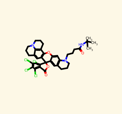 CC(C)(C)NC(=O)CCCN1CCCc2cc3c(cc21)Oc1c(cc2c4c1CCCN4CCC2)C31OC(=O)c2c(Cl)c(Cl)c(Cl)c(Cl)c21